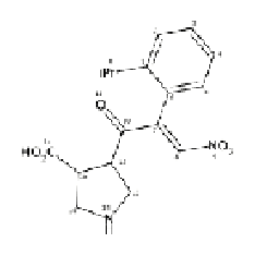 CC(C)c1ccccc1/C(=C\[N+](=O)[O-])C(=O)C1CNCC1C(=O)O